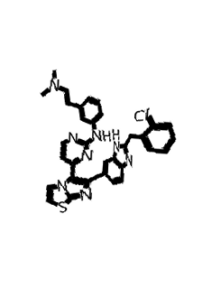 CN(C)CCc1cccc(Nc2nccc(-c3c(-c4ccc5nc(Cc6ccccc6Cl)[nH]c5c4)nc4sccn34)n2)c1